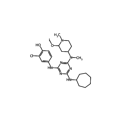 CN1CCC(N(C)c2nc(Nc3ccc(O)c(Cl)c3)nc(NC3CCCCCC3)n2)CC1OI